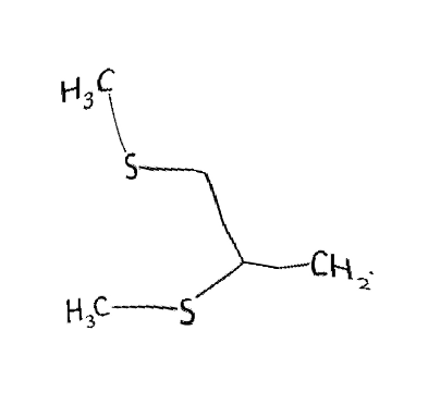 [CH2]C(CSC)SC